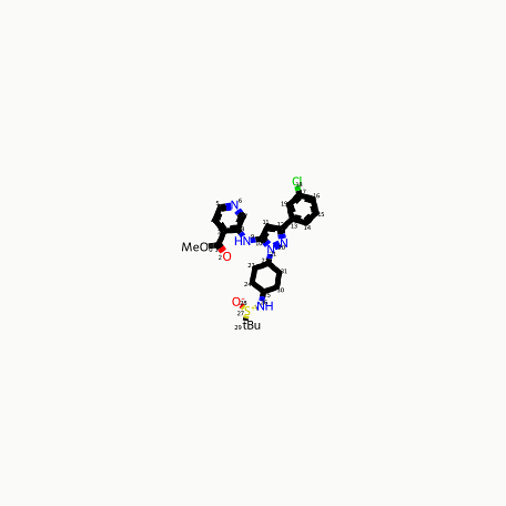 COC(=O)c1ccncc1Nc1cc(-c2cccc(Cl)c2)nn1C1CCC(N[S+]([O-])C(C)(C)C)CC1